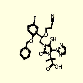 CC(C)(C(=O)O)n1c(-n2nccn2)c(S)n(C[C@H](OCCC#N)c2cc(F)ccc2OCc2ccccc2)c1=O